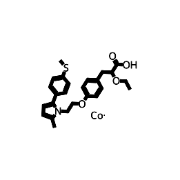 CCOC(Cc1ccc(OCCn2c(C)ccc2-c2ccc(SC)cc2)cc1)C(=O)O.[Co]